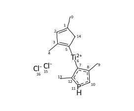 CC1=CC(C)=[C]([Ti+2][c]2c(C)c[pH]c2C)C1.[Cl-].[Cl-]